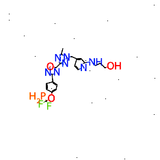 Cc1nc(-c2nc(-c3ccc(OC(F)(F)P)cc3)no2)nn1Cc1ccnc(NCCCO)c1